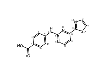 O=C(O)c1ccc(Nc2nccc(-c3nccs3)n2)cc1